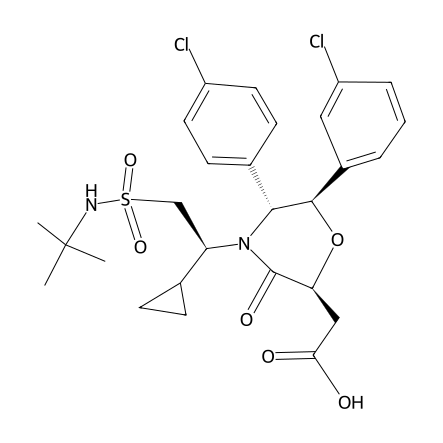 CC(C)(C)NS(=O)(=O)C[C@H](C1CC1)N1C(=O)[C@H](CC(=O)O)O[C@H](c2cccc(Cl)c2)[C@H]1c1ccc(Cl)cc1